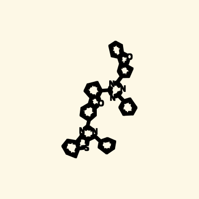 c1ccc(-c2nc(-c3ccc4oc5ccccc5c4c3)nc(-c3cccc4c3oc3cc(-c5nc(-c6ccccc6)c6sc7ccccc7c6n5)ccc34)n2)cc1